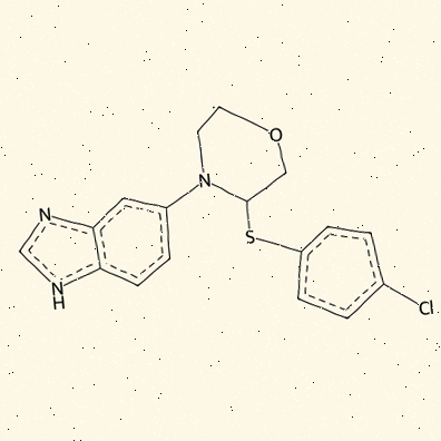 Clc1ccc(SC2CO[CH]CN2c2ccc3[nH]cnc3c2)cc1